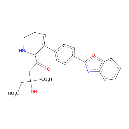 O=C(O)CC(O)(CC(=O)C1NCCC=C1c1ccc(-c2nc3ccccc3o2)cc1)C(=O)O